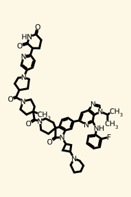 CC(C)n1cnc2cc(-c3ccc4c(c3)N(C3CC(N5CCCCC5)C3)C(=O)C43CCN(C(=O)C4(C)CCN(C(=O)C5CCN(c6ccc(C7CCC(=O)NC7=O)nc6)CC5)CC4)CC3)nc(Nc3ccccc3F)c21